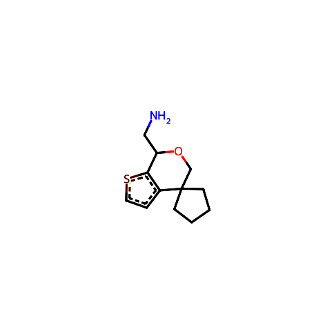 NCC1OCC2(CCCC2)c2ccsc21